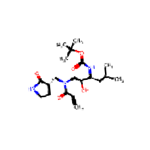 C=CC(=O)N(CC(O)[C@H](CC(C)C)NC(=O)OC(C)(C)C)C[C@@H]1CCNC1=O